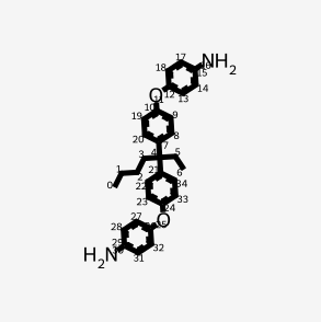 CCCCC(CC)(c1ccc(Oc2ccc(N)cc2)cc1)c1ccc(Oc2ccc(N)cc2)cc1